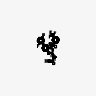 O=C(O)[C@@H]1C[C@H]1[C@H]1CN(S(=O)(=O)c2cccc(C(F)(F)F)c2)c2cc(-c3cc(F)ccc3F)ccc2O1